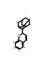 C1=CC(C2C3CC4CC(C3)CC2C4)Oc2ccccc21